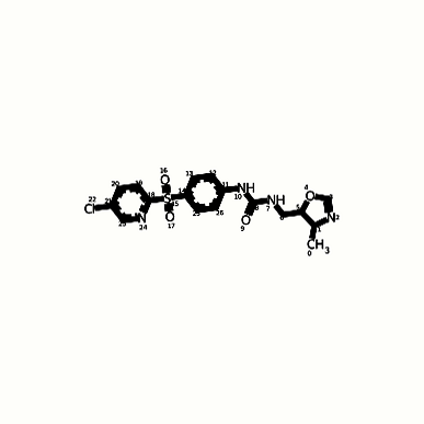 CC1N=COC1CNC(=O)Nc1ccc(S(=O)(=O)c2ccc(Cl)cn2)cc1